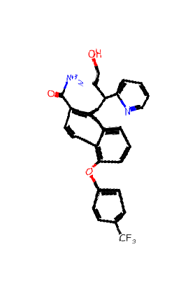 NC(=O)c1ccc2c(Oc3ccc(C(F)(F)F)cc3)cccc2c1C(CCO)c1ccccn1